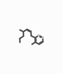 CCCC(C)/C=C\Cc1nnccc1C